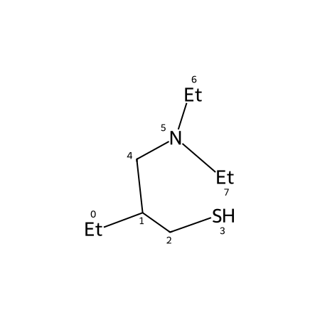 CCC(CS)CN(CC)CC